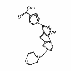 O=C(O)c1ccc(-c2n[nH]c3c2Cc2cc(CN4CCOCC4)ccc2-3)cc1